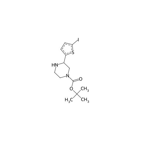 CC(C)(C)OC(=O)N1CCNC(c2ccc(I)s2)C1